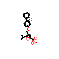 CC(C)c1oc(C(=O)O)cc1COc1ccc2c(c1)oc1ccccc12